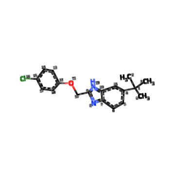 CC(C)(C)c1ccc2nc(COc3ccc(Cl)cc3)[nH]c2c1